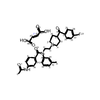 CC(=O)Nc1ccc(C(=O)N(CCN2CCC(C(=O)c3ccc(F)cc3)CC2)c2cccc(C)c2)cc1.O=C(O)/C=C/C(=O)O